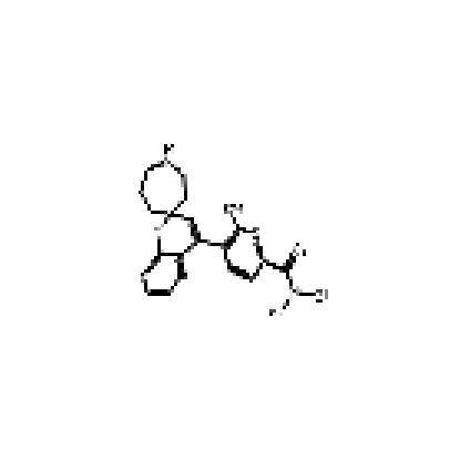 CCN(CC)C(=O)c1ccc(C2=CC3(CCCNCC3)Oc3ccccc32)c(O)n1